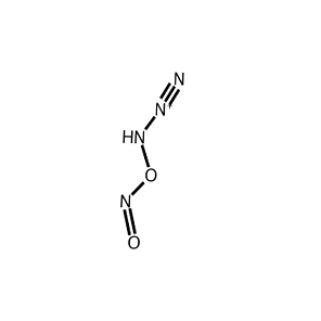 N#[N+]NON=O